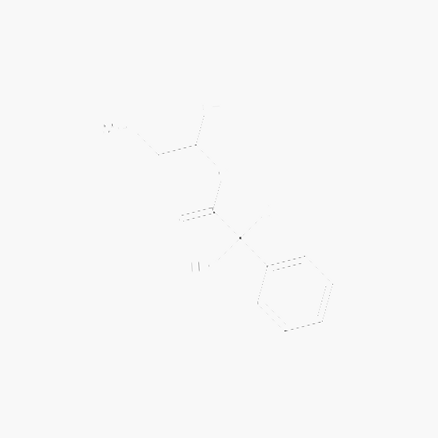 COCC(C)OC(=O)C(C)(C)c1ccccc1